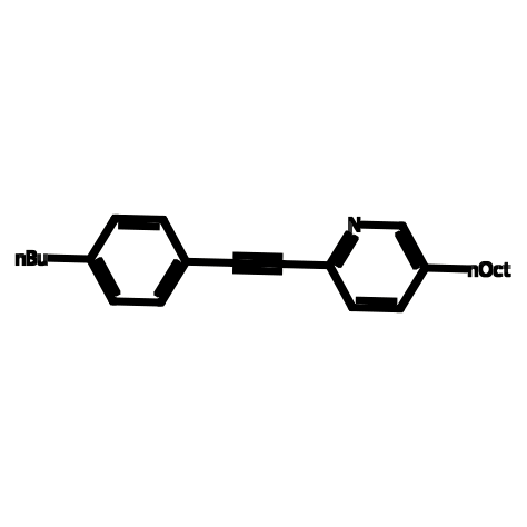 CCCCCCCCc1ccc(C#Cc2ccc(CCCC)cc2)nc1